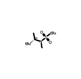 C[C@H](N(C)S(=O)(=O)C(C)(C)C)C(C)(C)C